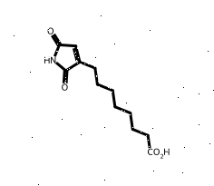 O=C(O)CCCCCCCC1=CC(=O)NC1=O